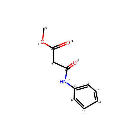 COC(=O)CC(=O)Nc1ccccc1